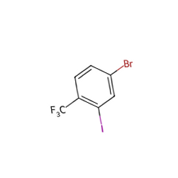 FC(F)(F)c1ccc(Br)cc1I